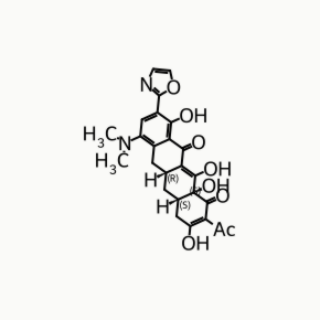 CC(=O)C1=C(O)C[C@@H]2C[C@@H]3Cc4c(N(C)C)cc(-c5ncco5)c(O)c4C(=O)C3=C(O)[C@]2(O)C1=O